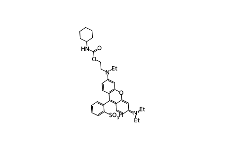 CCN(CCOC(=O)NC1CCCCC1)c1ccc2c(-c3ccccc3S(=O)(=O)O)c3ccc(=[N+](CC)CC)cc-3oc2c1